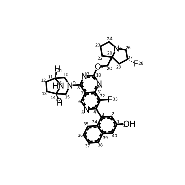 Oc1cc(-c2ncc3c(N4C[C@H]5CC[C@@H](C4)N5)nc(OCC45CCCN4C[C@H](F)C5)nc3c2F)c2ccccc2c1